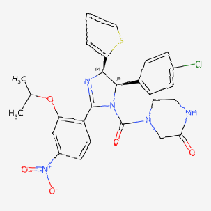 CC(C)Oc1cc([N+](=O)[O-])ccc1C1=N[C@@H](c2cccs2)[C@@H](c2ccc(Cl)cc2)N1C(=O)N1CCNC(=O)C1